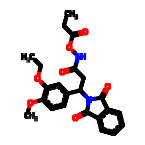 CCOc1cc(C(CC(=O)NOC(=O)CC)N2C(=O)c3ccccc3C2=O)ccc1OC